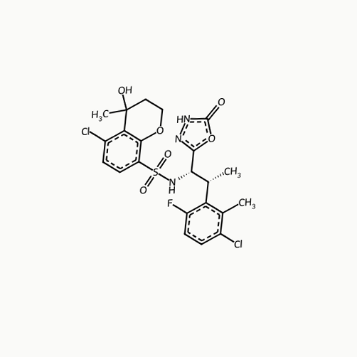 Cc1c(Cl)ccc(F)c1[C@@H](C)[C@H](NS(=O)(=O)c1ccc(Cl)c2c1OCCC2(C)O)c1n[nH]c(=O)o1